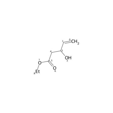 C=CC(O)CC(=O)OCC